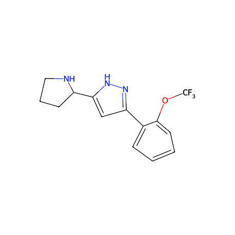 FC(F)(F)Oc1ccccc1-c1cc(C2CCCN2)[nH]n1